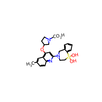 Cc1ccc2nc(N3CCS(O)(O)c4ccccc4C3)cc(OC3CCN(C(=O)O)C3)c2c1